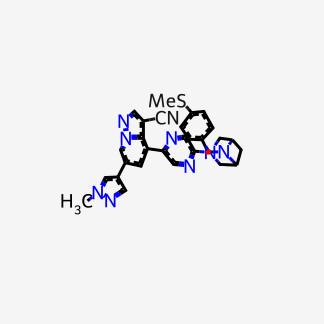 CSc1ccc(CN2C3CC2CN(c2cnc(-c4cc(-c5cnn(C)c5)cn5ncc(C#N)c45)cn2)C3)cc1